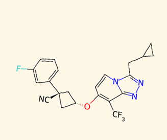 N#C[C@]1(c2cccc(F)c2)C[C@@H](Oc2ccn3c(CC4CC4)nnc3c2C(F)(F)F)C1